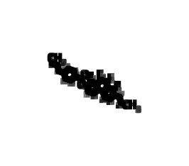 C=CCCC1CCC(C(=O)Oc2ccc3c(c2F)C(F)C(F)c2c-3ccc(CCC)c2F)CC1